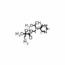 CC(C)N(COC(=O)C(C)(C)C)c1cncnc1